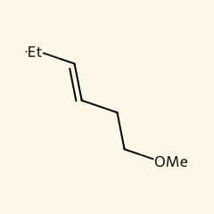 C[CH]/C=C/CCOC